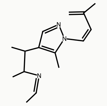 C=C(C)/C=C\n1ncc(C(C)C(C)/N=C\C)c1C